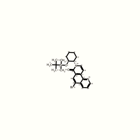 CC(C)(C)[Si](C)(C)O[C@H]1CCCC[C@@H]1n1ccc2c(cc(Br)c3cccnc32)c1=O